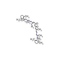 CC1=C(/C=C/C(C)=C/C=C/C(C)=C/C(=O)SC(=O)/C=C(C)/C=C/C=C(C)/C=C/C2=C(C)CCCC2(C)C)C(C)(C)CCC1